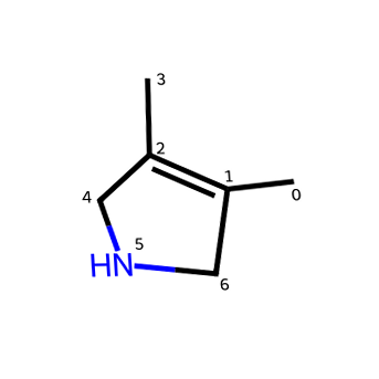 CC1=C(C)CNC1